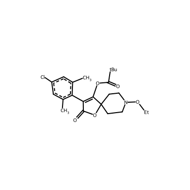 CCON1CCC2(CC1)OC(=O)C(c1c(C)cc(Cl)cc1C)=C2OC(=O)C(C)(C)C